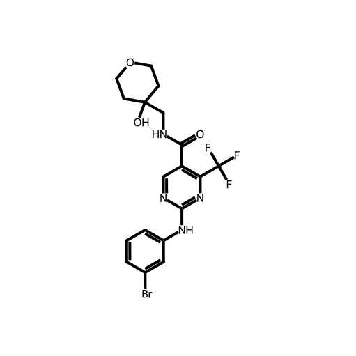 O=C(NCC1(O)CCOCC1)c1cnc(Nc2cccc(Br)c2)nc1C(F)(F)F